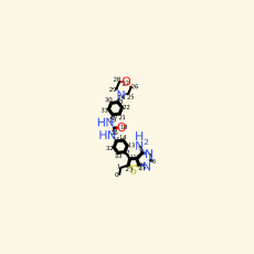 CCc1sc2ncnc(N)c2c1-c1ccc(NC(=O)Nc2ccc(N3CCOCC3)cc2)cc1